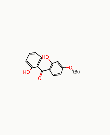 CC(C)(C)Oc1ccc(C(=O)c2ccccc2O)c(O)c1